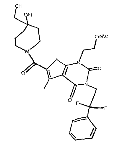 COCCn1c(=O)n(CC(F)(F)c2ccccc2)c(=O)c2c(C)c(C(=O)N3CCC(O)(CO)CC3)sc21